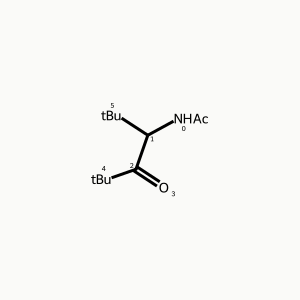 CC(=O)NC(C(=O)C(C)(C)C)C(C)(C)C